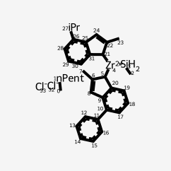 CCCCCC.C[SiH2][Zr+2]([CH]1C(C)=Cc2c(-c3ccccc3)cccc21)[CH]1C(C)=Cc2c(C(C)C)cccc21.[Cl-].[Cl-]